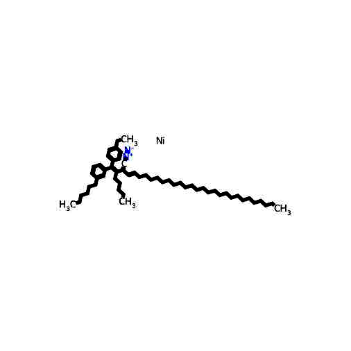 CCCCCCCCCCCCCCCCCCCCCCCCCC=CC(=C=[N+]=[N-])C(CCCCC)=C(c1ccc(CC)cc1)c1cccc(CCCCCC)c1.[Ni]